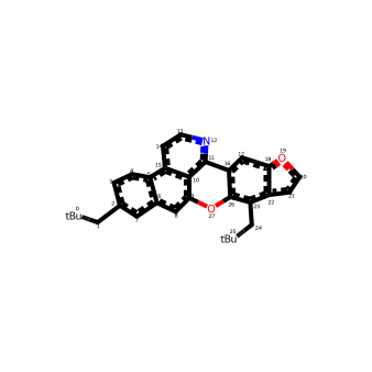 CC(C)(C)Cc1ccc2c(c1)cc1c3c(nccc32)-c2cc3occc3c(CC(C)(C)C)c2O1